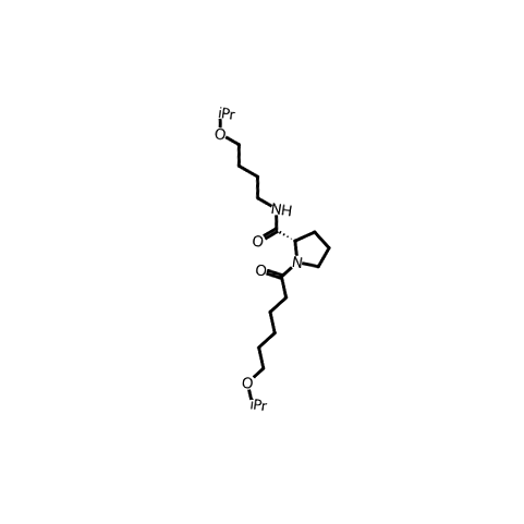 CC(C)OCCCCCC(=O)N1CCC[C@H]1C(=O)NCCCCOC(C)C